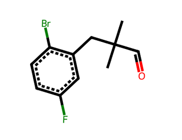 CC(C)(C=O)Cc1cc(F)ccc1Br